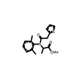 COC(=O)C(C)N(C(=O)Cc1cccs1)c1c(C)cccc1C